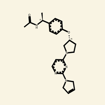 CC(=O)N[C@@H](C)c1ccc(O[C@@H]2CCN(c3ccnc(N4CC=CC4)n3)C2)cc1